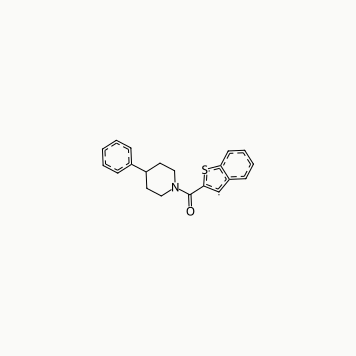 O=C(c1[c]c2ccccc2s1)N1CCC(c2ccccc2)CC1